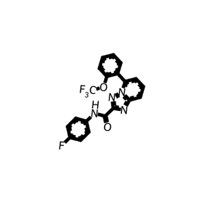 O=C(Nc1ccc(F)cc1)c1nc2cccc(-c3ccccc3OC(F)(F)F)n2n1